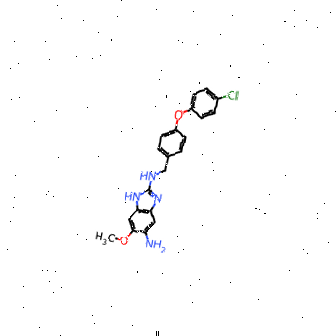 COc1cc2[nH]c(NCc3ccc(Oc4ccc(Cl)cc4)cc3)nc2cc1N